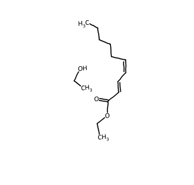 CCCCC/C=C\C=C\C(=O)OCC.CCO